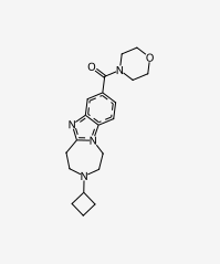 O=C(c1ccc2c(c1)nc1n2CCN(C2CCC2)CC1)N1CCOCC1